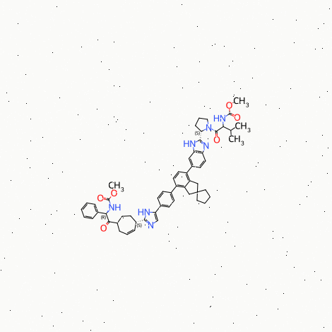 COC(=O)NC(C(=O)N1CCC[C@H]1c1nc2ccc(-c3ccc(-c4ccc(-c5cnc([C@@H]6C=CCC(C(=O)[C@H](NC(=O)OC)c7ccccc7)CC6)[nH]5)cc4)c4c3CC3(CCCC3)C4)cc2[nH]1)C(C)C